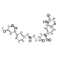 COc1cnnc(-c2cccc(CNCC[C@@H]3CN(c4ccc5c(c4)NC(=O)CS5)C(=O)O3)c2)c1